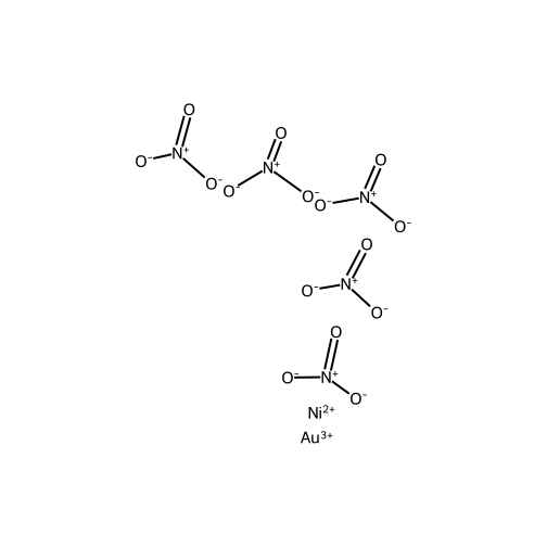 O=[N+]([O-])[O-].O=[N+]([O-])[O-].O=[N+]([O-])[O-].O=[N+]([O-])[O-].O=[N+]([O-])[O-].[Au+3].[Ni+2]